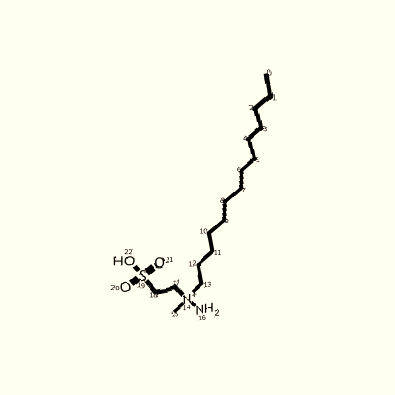 CCCCCCCCCCCCCC[N+](C)(N)CCS(=O)(=O)O